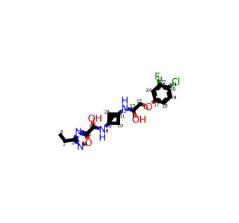 CCc1noc(C(O)NC23CC(NC(O)COc4ccc(Cl)c(F)c4)(C2)C3)n1